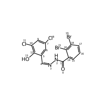 O=C(N/N=C\c1cc(Cl)cc(Cl)c1O)c1cccc(Br)c1Br